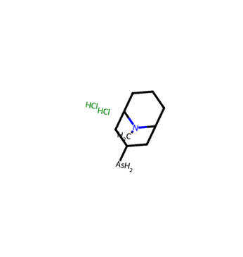 CN1C2CCCC1CC([AsH2])C2.Cl.Cl